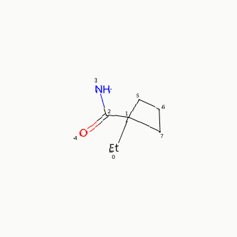 CCC1(C([NH])=O)CCC1